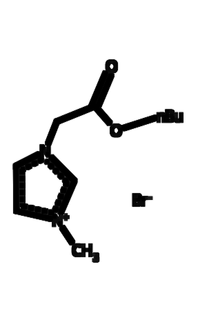 CCCCOC(=O)Cn1cc[n+](C)c1.[Br-]